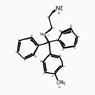 [C-]#[N+]CCNC(c1ccccc1)(c1ccccc1)c1ccc(OC)cc1